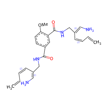 C=C/C=C\C(=C/N)CNC(=O)c1ccc(OC)c(C(=O)NCC(/C=C\C=C)=C/N)c1